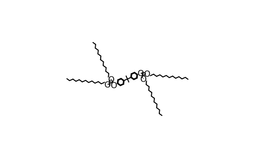 CCCCCCCCCCCCCOP(OCCCCCCCCCCCCC)Oc1ccc(C(C)(C)c2ccc(OP(OCCCCCCCCCCCCC)OCCCCCCCCCCCCC)cc2)cc1